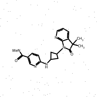 CNC(=O)c1ccc(NC2CC(N3C(=O)C(C)(C)c4cccnc43)C2)nc1